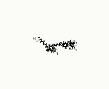 CCCCCCCn1nc(OCCCOc2cccc(SC(C)(CCC)C(=O)O)c2)c(=O)n(C)c1=O